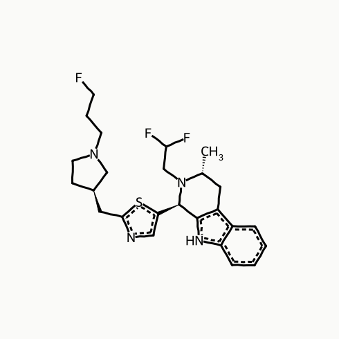 C[C@@H]1Cc2c([nH]c3ccccc23)[C@@H](c2cnc(C[C@H]3CCN(CCCF)C3)s2)N1CC(F)F